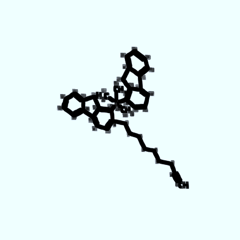 C#CCCCCCCCc1ccc2c([c]1[Ti]([CH3])([CH3])([CH3])[c]1cccc3c1Cc1ccccc1-3)Cc1ccccc1-2